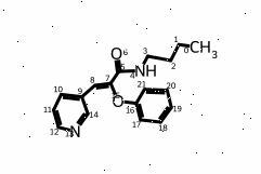 CCCCNC(=O)C(=Cc1cccnc1)Oc1ccccc1